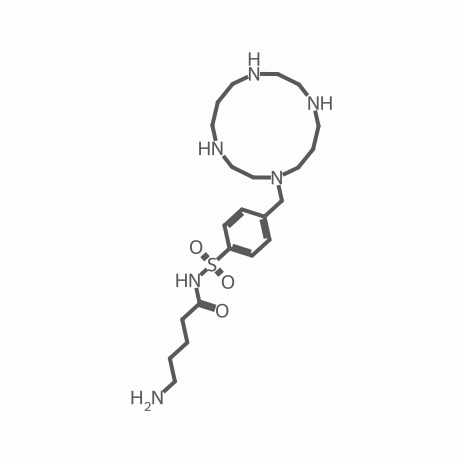 NCCCCC(=O)NS(=O)(=O)c1ccc(CN2CCCNCCNCCCNCC2)cc1